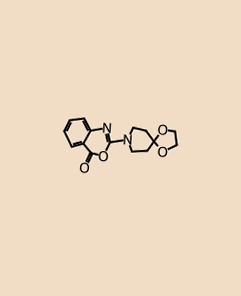 O=c1oc(N2CCC3(CC2)OCCO3)nc2ccccc12